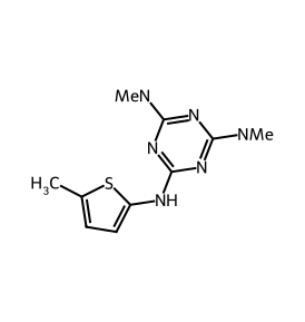 CNc1nc(NC)nc(Nc2ccc(C)s2)n1